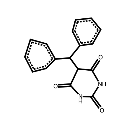 O=C1NC(=O)C(C(c2ccccc2)c2ccccc2)C(=O)N1